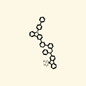 CC1(C)c2ccccc2-c2ccc(C(Cc3cccc(C4=CC(c5ccc6c(c5)c5ccccc5n6-c5ccc(-c6ccccc6)cc5)=CCC4)c3)c3ccccc3)cc21